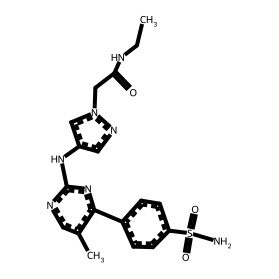 CCNC(=O)Cn1cc(Nc2ncc(C)c(-c3ccc(S(N)(=O)=O)cc3)n2)cn1